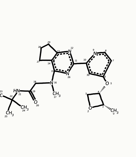 C[C@@H]1OC[C@@H]1Oc1ccnc(-c2nc3c(c(N(C)CC(=O)NC(C)(C)C)n2)CCC3)c1